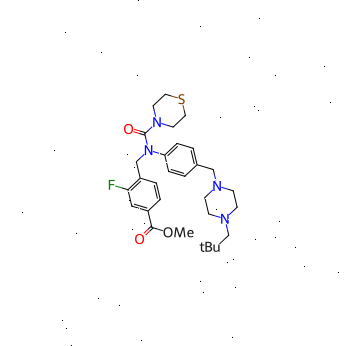 COC(=O)c1ccc(CN(C(=O)N2CCSCC2)c2ccc(CN3CCN(CC(C)(C)C)CC3)cc2)c(F)c1